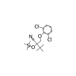 CC(C)(C)C(C#N)(COc1c(Cl)cccc1Cl)O[Si](C)(C)C